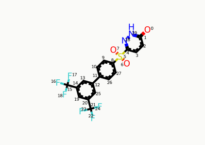 O=c1ccc(S(=O)(=O)c2ccc(-c3cc(C(F)(F)F)cc(C(F)(F)F)c3)cc2)n[nH]1